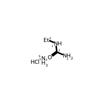 CCNC(N)=O.Cl.N